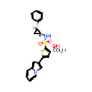 O=C(O)O.O=S(=O)(N[C@H]1C[C@@H]1c1ccccc1)c1ccc(-c2cc3ccccn3c2)s1